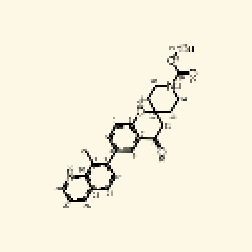 Cc1c(-c2ccc3c(c2)C(=O)CC2(CCN(C(=O)OC(C)(C)C)CC2)O3)ccc2cccnc12